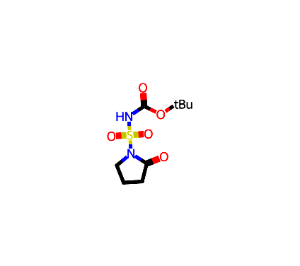 CC(C)(C)OC(=O)NS(=O)(=O)N1CCCC1=O